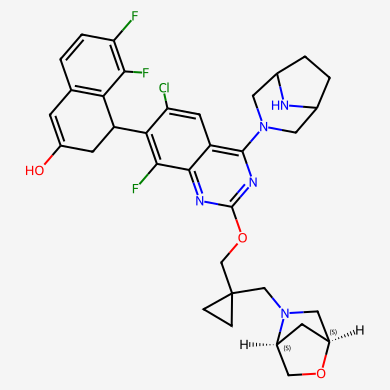 OC1=Cc2ccc(F)c(F)c2C(c2c(Cl)cc3c(N4CC5CCC(C4)N5)nc(OCC4(CN5C[C@@H]6C[C@H]5CO6)CC4)nc3c2F)C1